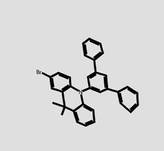 CC1(C)c2ccccc2N(c2cc(-c3ccccc3)cc(-c3ccccc3)c2)c2ccc(Br)cc21